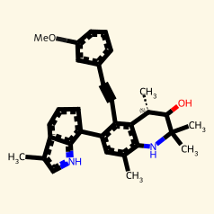 COc1cccc(C#Cc2c(-c3cccc4c(C)c[nH]c34)cc(C)c3c2[C@H](C)C(O)C(C)(C)N3)c1